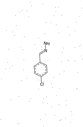 [NH]N=Cc1ccc(Cl)cc1